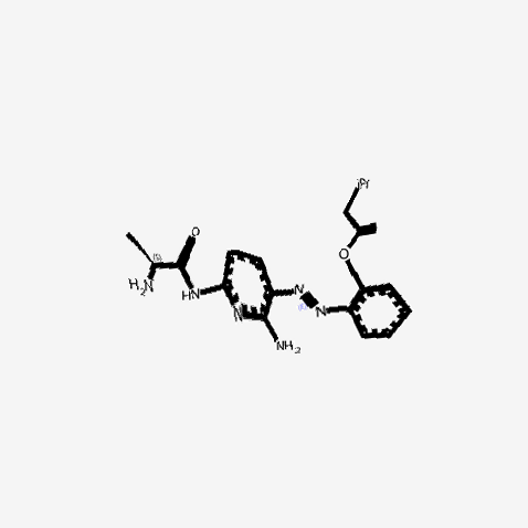 C=C(CC(C)C)Oc1ccccc1/N=N/c1ccc(NC(=O)[C@H](C)N)nc1N